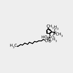 CCCCCCCCCCCCCOP(=O)(O)Oc1ccc(C)cc1C(C)(C)C